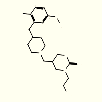 CCCN1CC(CN2CCC(Cc3cc(OC)ccc3Cl)CC2)COC1=O